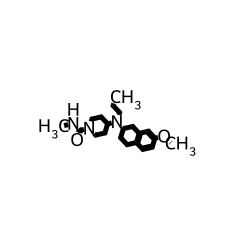 CCCN(C1CCN(C(=O)NC)CC1)C1CCc2ccc(OC)cc2C1